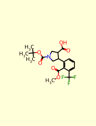 COC(=O)c1c(C2CN(C(=O)OC(C)(C)C)CC2C(=O)O)cccc1C(F)(F)F